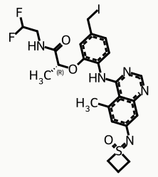 Cc1cc(N=S2(=O)CCC2)cc2ncnc(Nc3ccc(CI)cc3O[C@H](C)C(=O)NCC(F)F)c12